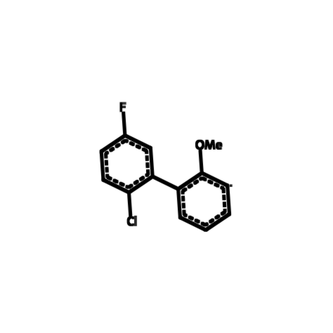 COc1[c]cccc1-c1cc(F)ccc1Cl